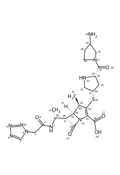 C[C@@H](NC(=O)Cn1cnnn1)[C@H]1C(=O)N2C(C(=O)O)=C(S[C@@H]3CN[C@H](C(=O)N4CCC(N)C4)C3)[C@H](C)[C@H]12